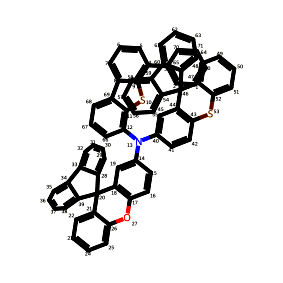 c1ccc(-c2cccc3c2sc2c(N(c4ccc5c(c4)C4(c6ccccc6O5)c5ccccc5-c5ccccc54)c4ccc5c(c4)C4(c6ccccc6S5)c5ccccc5-c5ccccc54)cccc23)cc1